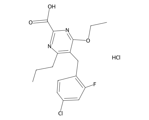 CCCc1nc(C(=O)O)nc(OCC)c1Cc1ccc(Cl)cc1F.Cl